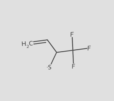 C=CC([S])C(F)(F)F